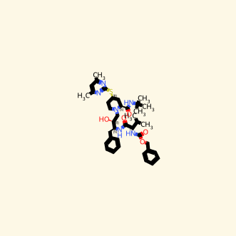 Cc1cc(C)nc(S[C@@H]2CCN(C[C@@H](O)[C@H](Cc3ccccc3)NC(=O)[C@@H](NC(=O)OCc3ccccc3)C(C)C)[C@H](C(=O)NC(C)(C)C)C2)n1